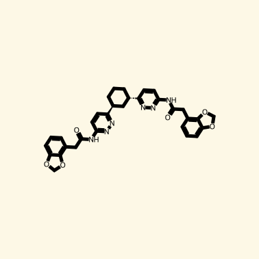 O=C(Cc1cccc2c1OCO2)Nc1ccc([C@H]2CCC[C@H](c3ccc(NC(=O)Cc4cccc5c4OCO5)nn3)C2)nn1